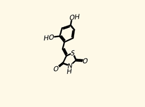 O=C1NC(=O)/C(=C/c2ccc(O)cc2O)S1